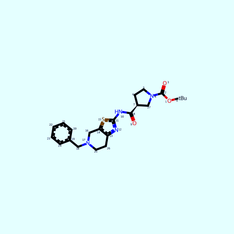 CC(C)(C)OC(=O)N1CC[C@H](C(=O)Nc2nc3c(s2)CN(Cc2ccccc2)CC3)C1